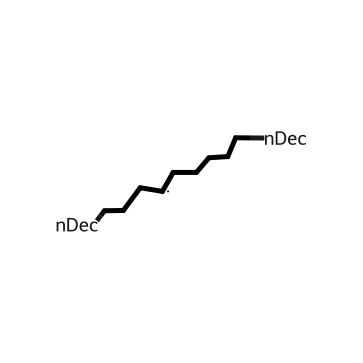 CCCCCCCCCCCCC[CH]CCCCCCCCCCCCCCC